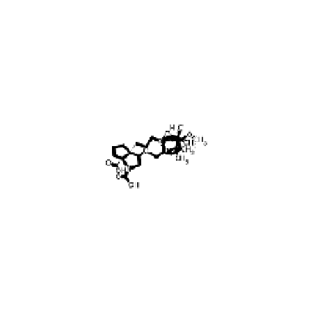 COc1ccc(COC2CN(C(=O)O)[C@@]3(C(=O)O)CCC[C@@]23CCCB2OC(C)(C)C(C)(C)O2)cc1